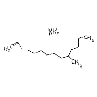 C=CCCCCCCCC(C)CCCC.N